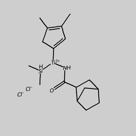 CC1=C(C)C[C]([Ti+2]([NH]C(=O)C2CC3CCC2C3)[SiH](C)C)=C1.[Cl-].[Cl-]